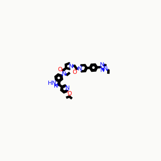 CCN(C(=O)C1CCN(CC(=O)N2CC=C(c3ccc(-c4ncn(CC)n4)cc3)CC2)C1)c1ccc2[nH]nc(-c3ccc(OC(C)C)nc3)c2c1